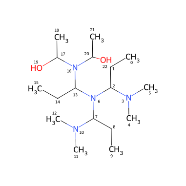 CCC(N(C)C)N(C(CC)N(C)C)C(CC)N(C(C)O)C(C)O